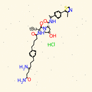 Cc1ncsc1-c1ccc([C@H](C)NC(=O)[C@@H]2C[C@@H](O)CN2C(=O)[C@@H](NC(=O)CCCCc2ccc(CCC[C@@H](N)CCC(N)=O)cc2)C(C)(C)C)cc1.Cl